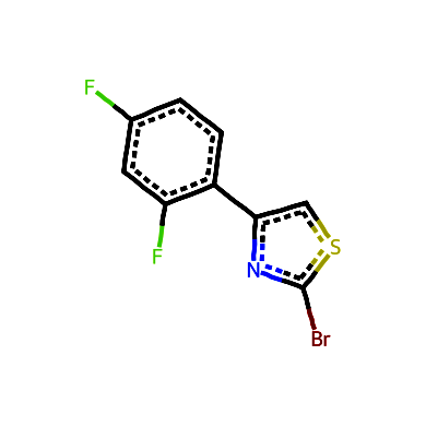 Fc1ccc(-c2csc(Br)n2)c(F)c1